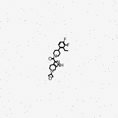 CCc1c(C2CCN(C(=O)c3n[nH]c4c3CCN(C3COC3)C4)CC2)ccc(F)c1F